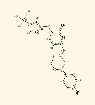 O=c1nc(N[C@H]2CCO[C@H](c3ccc(F)cc3)C2)ncn1Cc1ccc(C(F)(F)F)s1